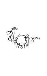 COC(=O)CNC(=O)C1NC(=O)[C@H](C(C)C)NC(=O)[C@H](C(C)C)NC(=O)C(NC(=O)[C@@H]2CCCN2C(=O)[C@@H]2CCCN2C(=O)OC(C)(C)C)OCCCCO1